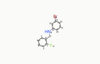 Fc1c[c]ccc1CNc1cccc(Br)c1